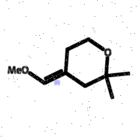 CO/C=C1\CCOC(C)(C)C1